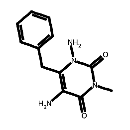 Cn1c(=O)c(N)c(Cc2ccccc2)n(N)c1=O